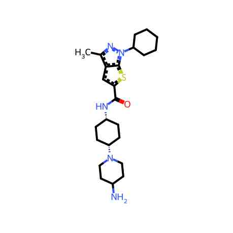 Cc1nn(C2CCCCC2)c2sc(C(=O)N[C@H]3CC[C@@H](N4CCC(N)CC4)CC3)cc12